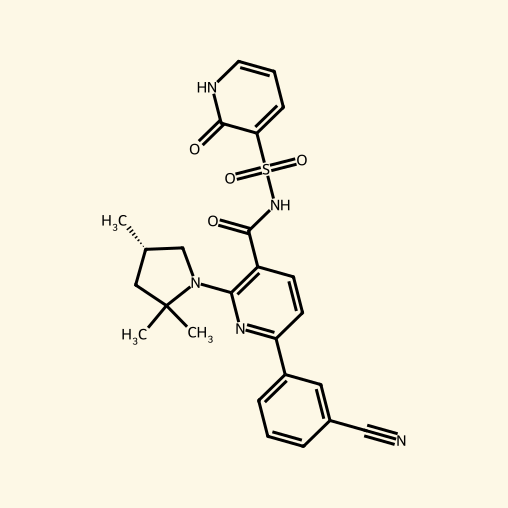 C[C@@H]1CN(c2nc(-c3cccc(C#N)c3)ccc2C(=O)NS(=O)(=O)c2ccc[nH]c2=O)C(C)(C)C1